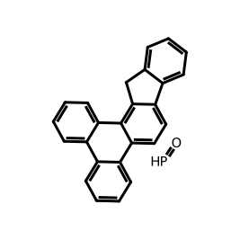 O=P.c1ccc2c(c1)Cc1c-2ccc2c3ccccc3c3ccccc3c12